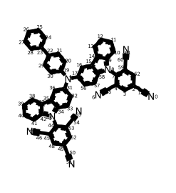 N#Cc1cc(C#N)c(-n2c3ccccc3c3cc(N(c4ccc(-c5ccccc5)cc4)c4ccc5c(c4)c4ccccc4n5-c4c(C#N)cc(C#N)cc4C#N)ccc32)c(C#N)c1